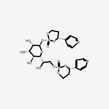 O=[P@]1(OCC(O)[C@H]2O[C@H](O[P@]3(=O)OCC[C@H](c4ccncc4)O3)[C@@H](O)[C@@H](O)[C@@H]2O)OCC[C@@H](c2ccncc2)O1